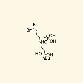 CCCCC(O)(O)CCCCCCCC(Br)Br.O=P(O)(O)O